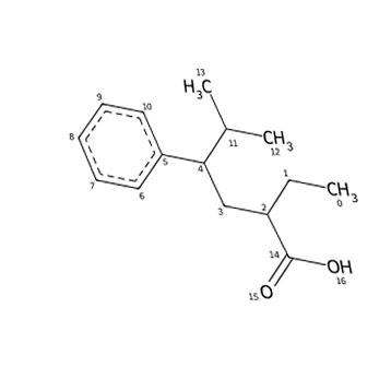 CCC(CC(c1ccccc1)C(C)C)C(=O)O